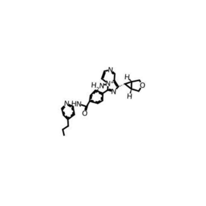 CCCc1ccnc(NC(=O)c2ccc(C3=NC([C@@H]4[C@@H]5COC[C@@H]54)=C4C=NC=C[N+]34N)cc2)c1